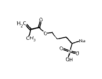 C=C(C)C(=O)OCCC[CH]([Na])S(=O)(=O)O